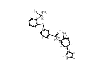 CP(=O)(O)c1ccccc1Cc1cccc(C(=O)Nc2cc(-c3cccs3)ccc2N)c1